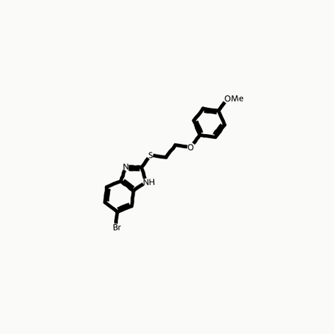 COc1ccc(OCCSc2nc3ccc(Br)cc3[nH]2)cc1